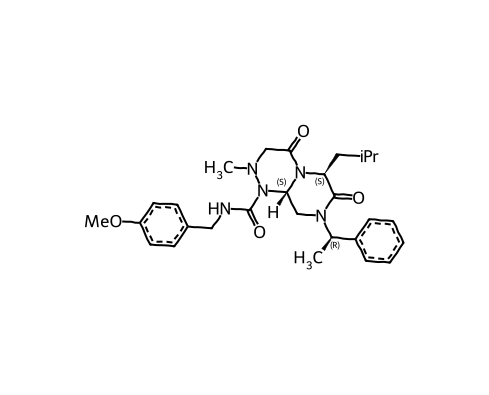 COc1ccc(CNC(=O)N2[C@H]3CN([C@H](C)c4ccccc4)C(=O)[C@H](CC(C)C)N3C(=O)CN2C)cc1